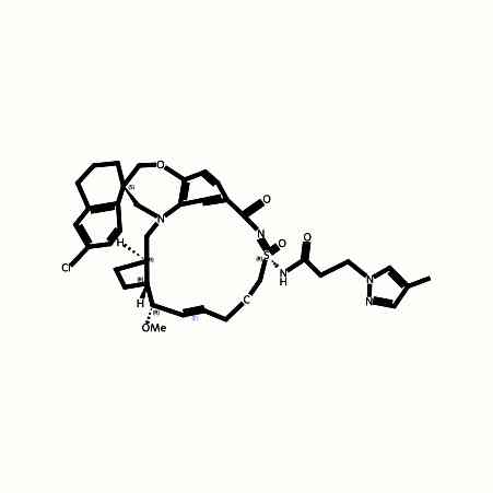 CO[C@H]1/C=C/CCC[S@@](=O)(NC(=O)CCn2cc(C)cn2)=NC(=O)c2ccc3c(c2)N(C[C@@H]2CC[C@H]21)C[C@@]1(CCCc2cc(Cl)ccc21)CO3